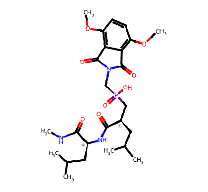 CNC(=O)[C@H](CC(C)C)NC(=O)[C@H](CC(C)C)CP(=O)(O)CN1C(=O)c2c(OC)ccc(OC)c2C1=O